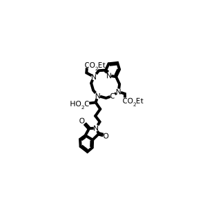 CCOC(=O)CN1CCN(C(CCCN2C(=O)c3ccccc3C2=O)C(=O)O)CCN(CC(=O)OCC)Cc2cccc(n2)C1